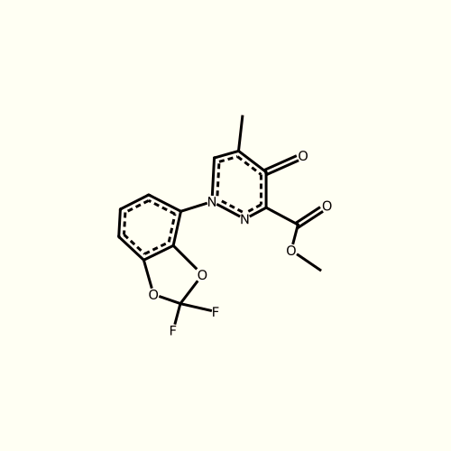 COC(=O)c1nn(-c2cccc3c2OC(F)(F)O3)cc(C)c1=O